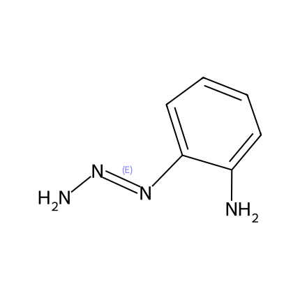 N/N=N/c1ccccc1N